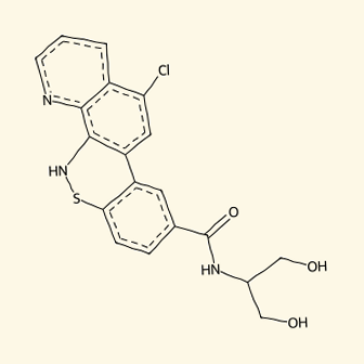 O=C(NC(CO)CO)c1ccc2c(c1)-c1cc(Cl)c3cccnc3c1NS2